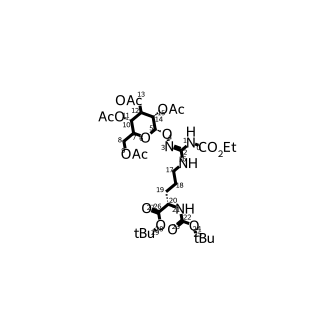 CCOC(=O)N/C(=N\O[C@@H]1OC(COC(C)=O)[C@H](OC(C)=O)C(OC(C)=O)[C@@H]1OC(C)=O)NCCC[C@H](NC(=O)OC(C)(C)C)C(=O)OC(C)(C)C